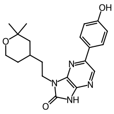 CC1(C)CC(CCn2c(=O)[nH]c3ncc(-c4ccc(O)cc4)nc32)CCO1